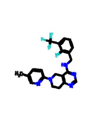 Cc1ccc(N2CCc3ncnc(NCc4cccc(C(F)(F)F)c4F)c3C2)nc1